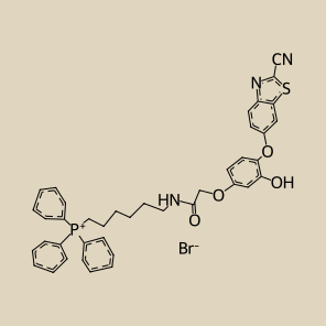 N#Cc1nc2ccc(Oc3ccc(OCC(=O)NCCCCCC[P+](c4ccccc4)(c4ccccc4)c4ccccc4)cc3O)cc2s1.[Br-]